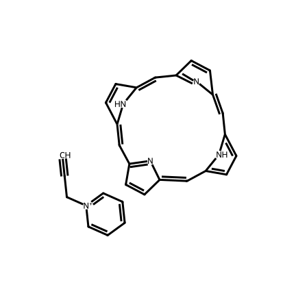 C#CC[n+]1ccccc1.C1=Cc2cc3ccc(cc4nc(cc5ccc(cc1n2)[nH]5)C=C4)[nH]3